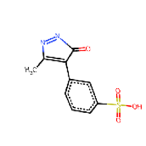 CC1=C(c2cccc(S(=O)(=O)O)c2)C(=O)N=N1